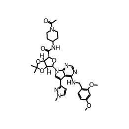 COc1ccc(CNc2ncnc3c2c(-c2ccn(C)n2)cn3[C@@H]2O[C@H](C(=O)NC3CCN(C(C)=O)CC3)[C@H]3OC(C)(C)O[C@H]32)c(OC)c1